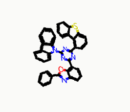 c1ccc(-c2nc3cccc(-c4nc(-c5cccc6sc7ccccc7c56)nc(-n5c6ccccc6c6ccccc65)n4)c3o2)cc1